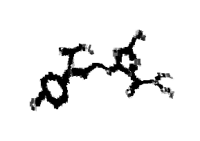 CN(C)C(=O)n1nc(C(C)(C)C)nc1SCCN(C(N)=S)c1ccc(Cl)cc1